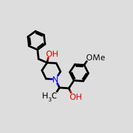 COc1ccc(C(O)C(C)N2CCC(O)(Cc3ccccc3)CC2)cc1